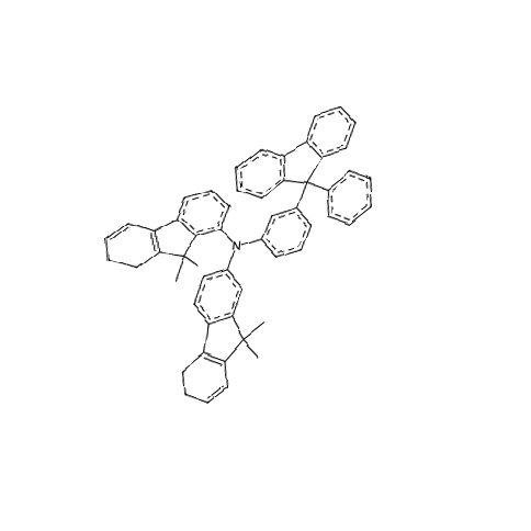 CC1(C)C2=C(CCC=C2)c2ccc(N(c3cccc(C4(c5ccccc5)c5ccccc5-c5ccccc54)c3)c3cccc4c3C(C)(C)C3=C4C=CCC3)cc21